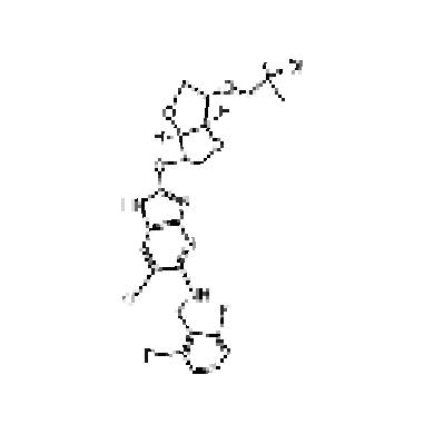 CC(C)(O)CO[C@@H]1CO[C@H]2[C@@H]1OC[C@H]2Oc1nc2nc(NCc3c(F)cccc3F)c(Cl)cc2[nH]1